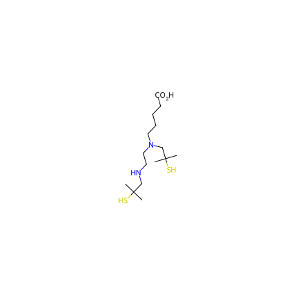 CC(C)(S)CNCCN(CCCCC(=O)O)CC(C)(C)S